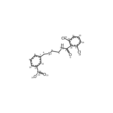 O=C(NCCSCc1cccc([N+](=O)[O-])c1)c1c(Cl)cccc1Cl